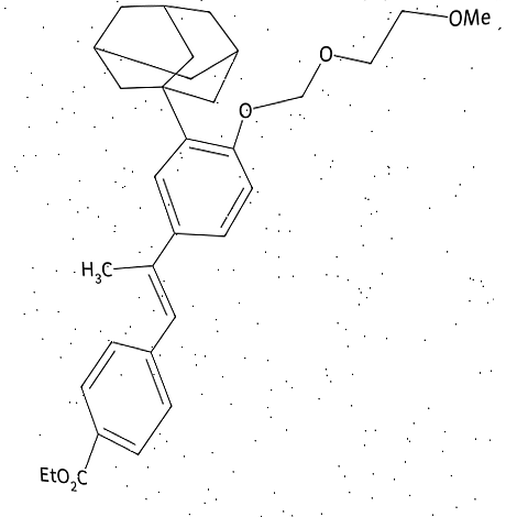 CCOC(=O)c1ccc(C=C(C)c2ccc(OCOCCOC)c(C34CC5CC(CC(C5)C3)C4)c2)cc1